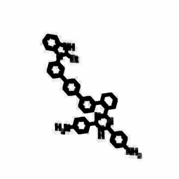 CCC1Nc2ccccc2N1c1cccc(-c2ccc(-c3cccc(C4=C(C5=NC(c6ccc(N)cc6)NC(c6ccc(N)cc6)=N5)C=CCC4)c3)cc2)c1